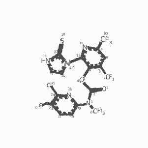 CN(C(=O)Oc1c(C(F)(F)F)cc(C(F)(F)F)nc1-n1cc[nH]c1=S)c1ccc(F)c(Cl)n1